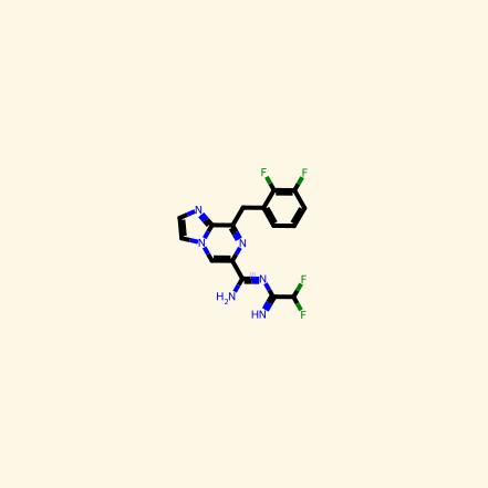 N=C(/N=C(\N)c1cn2ccnc2c(Cc2cccc(F)c2F)n1)C(F)F